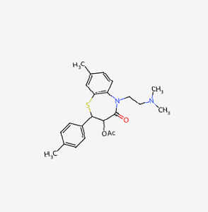 CC(=O)OC1C(=O)N(CCN(C)C)c2ccc(C)cc2SC1c1ccc(C)cc1